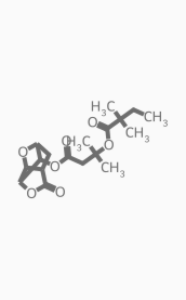 CCC(C)(C)C(=O)OC(C)(C)CC(=O)OC1C2CC3C(=O)OC1C3O2